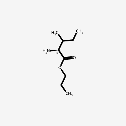 CCCOC(=O)[C@@H](N)C(C)CC